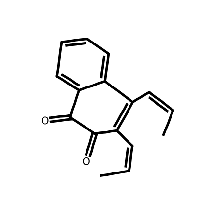 C/C=C\C1=C(/C=C\C)c2ccccc2C(=O)C1=O